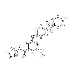 CC(C)Oc1cc(C(=O)Nc2nccs2)cc(Oc2ccc(S(=O)(=O)N3CCN(C)CC3)cc2)n1